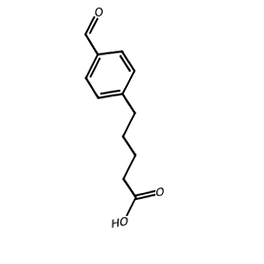 O=Cc1ccc(CCCCC(=O)O)cc1